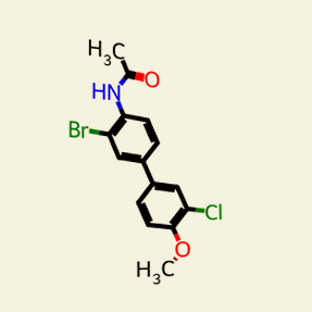 COc1ccc(-c2ccc(NC(C)=O)c(Br)c2)cc1Cl